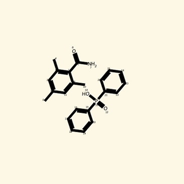 Cc1cc(C)c(C(N)=O)c(C)c1.O=P(O)(c1ccccc1)c1ccccc1